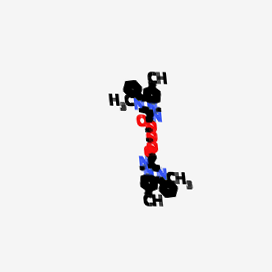 C#Cc1ccc2c(c1)C(c1ccccc1C)=NCc1c(COOCOCOC(=O)c3ncn4c3CN=C(c3ccccc3C)c3cc(C#C)ccc3-4)ncn1-2